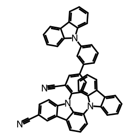 N#Cc1ccc2c(c1)c1cccc(-n3c4ccccc4c4ccccc43)c1n2-c1ccc(-c2cccc(-n3c4ccccc4c4ccccc43)c2)cc1C#N